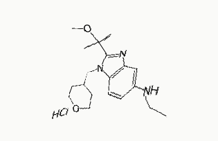 CCNc1ccc2c(c1)nc(C(C)(C)OC)n2CC1CCOCC1.Cl